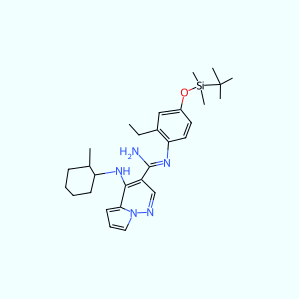 CCc1cc(O[Si](C)(C)C(C)(C)C)ccc1/N=C(\N)c1cnn2cccc2c1NC1CCCCC1C